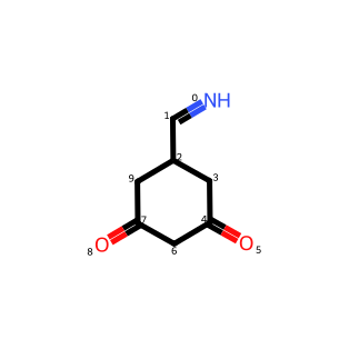 N=CC1CC(=O)CC(=O)C1